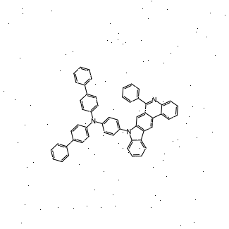 c1ccc(-c2ccc(N(c3ccc(-c4ccccc4)cc3)c3ccc(-n4c5ccccc5c5cc6c(cc54)c(-c4ccccc4)nc4ccccc46)cc3)cc2)cc1